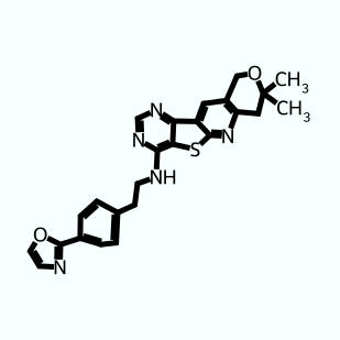 CC1(C)Cc2nc3sc4c(NCCc5ccc(-c6ncco6)cc5)ncnc4c3cc2CO1